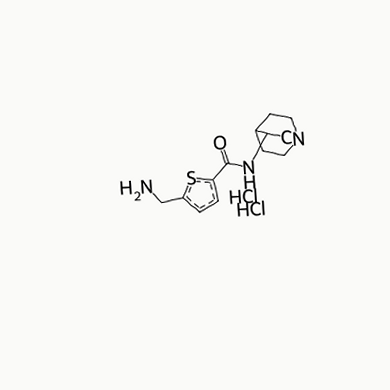 Cl.Cl.NCc1ccc(C(=O)NC2CN3CCC2CC3)s1